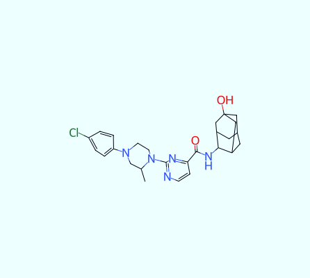 CC1CN(c2ccc(Cl)cc2)CCN1c1nccc(C(=O)NC2C3CC4CC2CC(O)(C4)C3)n1